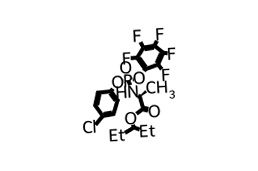 CCC(CC)OC(=O)[C@H](C)NP(=O)(Oc1ccc(Cl)cc1)Oc1c(F)c(F)c(F)c(F)c1F